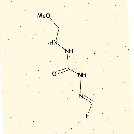 COCNNC(=O)NN=CF